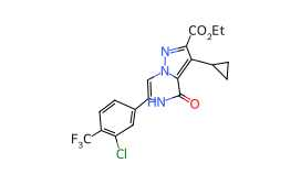 CCOC(=O)c1nn2cc(-c3ccc(C(F)(F)F)c(Cl)c3)[nH]c(=O)c2c1C1CC1